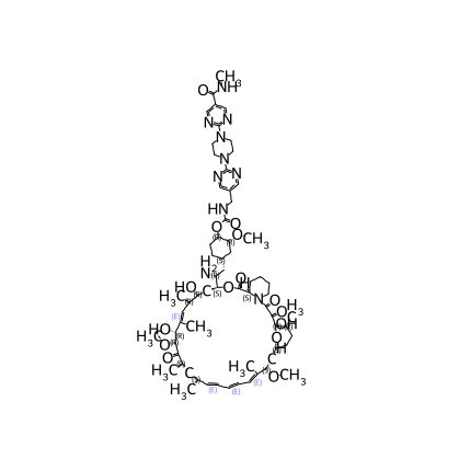 CNC(=O)c1cnc(N2CCN(c3ncc(CNC(=O)O[C@@H]4CC[C@@H](C[C@@H](N)[C@@H]5C[C@@H](O)[C@H](C)/C=C(\C)[C@@H](O)[C@@H](OC)C(=O)[C@H](C)C[C@H](C)/C=C/C=C/C=C(\C)[C@@H](OC)C[C@@H]6CC[C@@H](C)[C@@](O)(O6)C(=O)C(=O)N6CCCC[C@H]6C(=O)O5)C[C@H]4OC)cn3)CC2)nc1